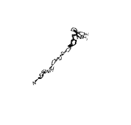 N#Cc1ccc(C(=O)NCCOCCOCCOCCOc2ccc(CC(N)C(=O)O)cc2)s1